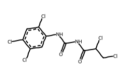 O=C(NC(=O)C(Cl)CCl)Nc1cc(Cl)c(Cl)cc1Cl